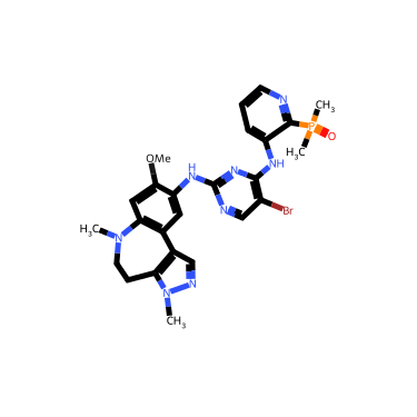 COc1cc2c(cc1Nc1ncc(Br)c(Nc3cccnc3P(C)(C)=O)n1)-c1cnn(C)c1CCN2C